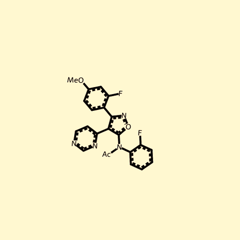 COc1ccc(-c2noc(N(C(C)=O)c3ccccc3F)c2-c2ccncn2)c(F)c1